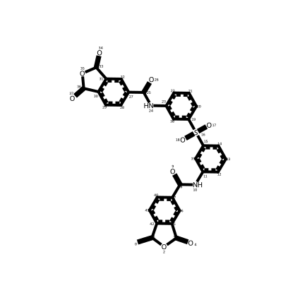 C=C1OC(=O)c2cc(C(=O)Nc3cccc(S(=O)(=O)c4cccc(NC(=O)c5ccc6c(c5)C(=O)OC6=O)c4)c3)ccc21